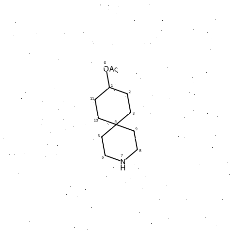 CC(=O)OC1CCC2(CCNCC2)CC1